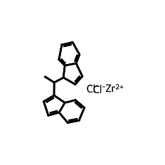 CC(C1=CC=C2C=CC=CC21)C1C=Cc2ccccc21.[Cl-].[Cl-].[Zr+2]